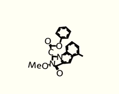 CON1C(=O)c2cc3c(C)cccc3n2C1CC(=O)Oc1ccccc1